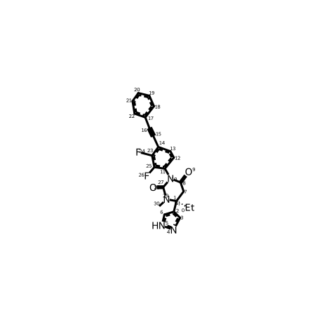 CC[C@@]1(c2cn[nH]c2)CC(=O)N(c2ccc(C#Cc3ccccc3)c(F)c2F)C(=O)N1C